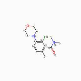 Cc1ccc(N2CCOCC2)c(F)c1C(=O)N(C)C